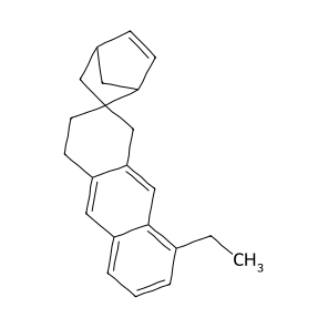 CCc1cccc2cc3c(cc12)CC1(CC3)CC2C=CC1C2